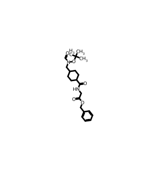 CC(C)(C)ON(C=O)CC1CCC(C(=O)NCC(=O)OCc2ccccc2)CC1